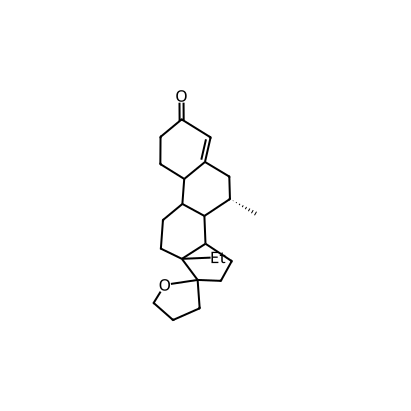 CCC12CCC3C4CCC(=O)C=C4C[C@H](C)C3C1CCC21CCCO1